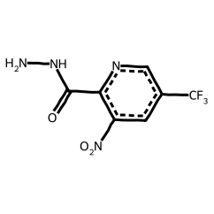 NNC(=O)c1ncc(C(F)(F)F)cc1[N+](=O)[O-]